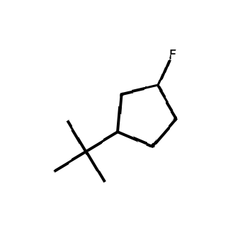 CC(C)(C)C1CCC(F)C1